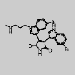 CNCCCn1cc(C2=C(c3c[nH]c4ccc(Br)cc34)C(=O)NC2=O)c2cc(Br)ccc21